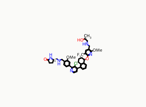 COc1cc(-c2nccc(-c3cccc4c3CCC[C@H]4Oc3nc(OC)c(CNC[C@@H](C)O)cc3C(F)(F)F)c2Cl)ccc1CNC[C@@H]1CCC(=O)N1